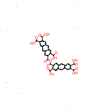 O=C(O)c1cc2cc3cc(C(=O)O)c(C(=O)OC(=O)c4cc5cc6cc(C(=O)O)c(C(=O)O)cc6cc5cc4C(=O)O)cc3cc2cc1C(=O)O